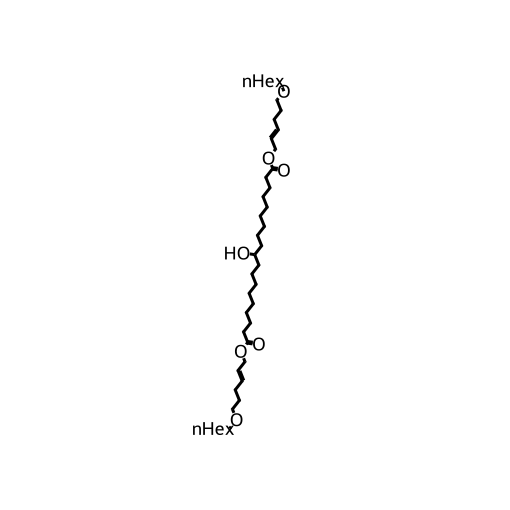 CCCCCCOCCC/C=C/COC(=O)CCCCCCCCC(O)CCCCCCCCC(=O)OC/C=C/CCCOCCCCCC